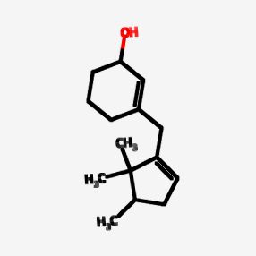 CC1CC=C(CC2=CC(O)CCC2)C1(C)C